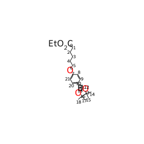 CCOC(=O)CCCCCOc1ccc(B2OC(C)(C)C(C)(C)O2)cc1